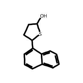 OC1CCC(c2cccc3ccccc23)S1